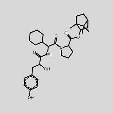 CC1(C)C2CCC1(C)C(OC(=O)C1CCCN1C(=O)C(NC(=O)C(O)Cc1ccc(O)cc1)C1CCCCC1)C2